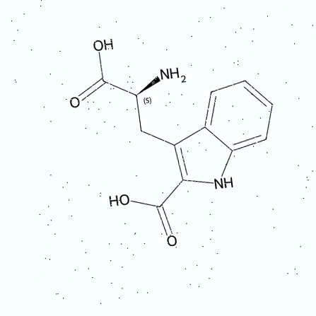 N[C@@H](Cc1c(C(=O)O)[nH]c2ccccc12)C(=O)O